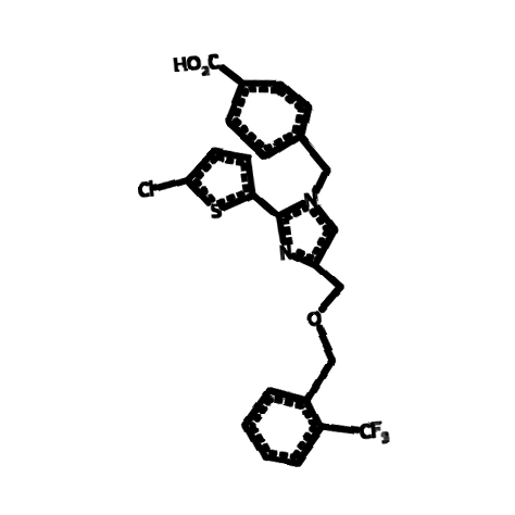 O=C(O)c1ccc(Cn2cc(COCc3ccccc3C(F)(F)F)nc2-c2ccc(Cl)s2)cc1